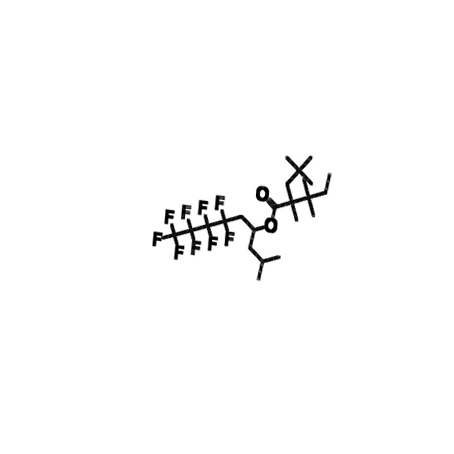 CCC(C)(C)C(C)(CC(C)(C)C)C(=O)OC(CC(C)C)CC(F)(F)C(F)(F)C(F)(F)C(F)(F)F